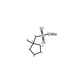 COS(=O)(=O)CC1(C)CCCC1